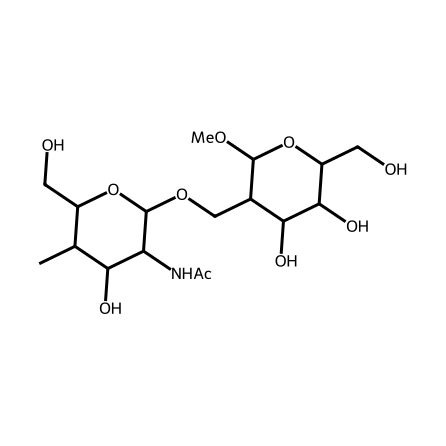 COC1OC(CO)C(O)C(O)C1COC1OC(CO)C(C)C(O)C1NC(C)=O